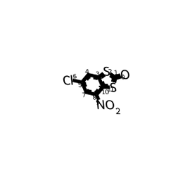 O=c1sc2cc(Cl)cc([N+](=O)[O-])c2s1